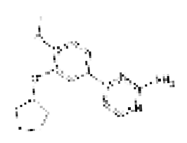 COc1ccc(-c2ccnc(N)n2)cc1OC1CCCC1